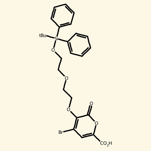 CC(C)(C)[Si](OCCOCCOc1c(Br)cc(C(=O)O)oc1=O)(c1ccccc1)c1ccccc1